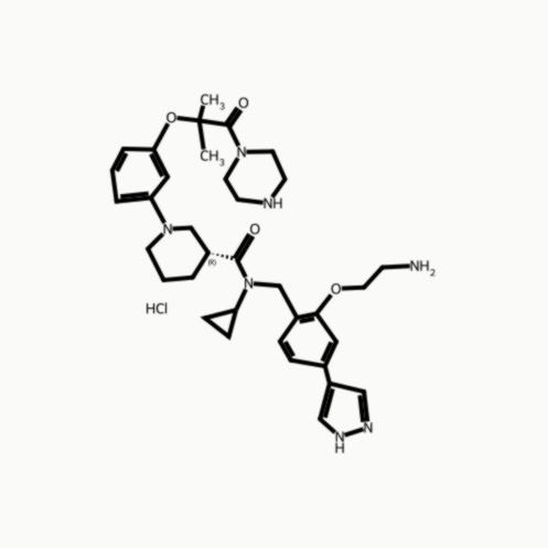 CC(C)(Oc1cccc(N2CCC[C@@H](C(=O)N(Cc3ccc(-c4cn[nH]c4)cc3OCCN)C3CC3)C2)c1)C(=O)N1CCNCC1.Cl